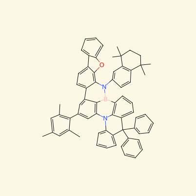 Cc1cc(C)c(-c2cc3c4c(c2)N2c5ccccc5C(c5ccccc5)(c5ccccc5)c5cccc(c52)B4N(c2ccc4c(c2)C(C)(C)CCC4(C)C)c2c-3ccc3c2oc2ccccc23)c(C)c1